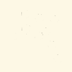 c1ccc(-c2ccc(-c3ccc(-c4ccc5oc6cccc(-c7cc(-c8ccccc8)nc(-c8ccccc8)n7)c6c5c4)c(-c4ccccc4)c3)cc2)cc1